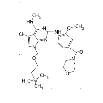 CNc1nc(Nc2ccc(C(=O)N3CCOCC3)cc2OC)nc2c1c(Cl)cn2COCC[Si](C)(C)C